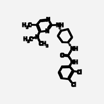 Cc1cnc(N[C@H]2CC[C@@H](NC(=O)Nc3cccc(Cl)c3Cl)CC2)nc1N(C)C